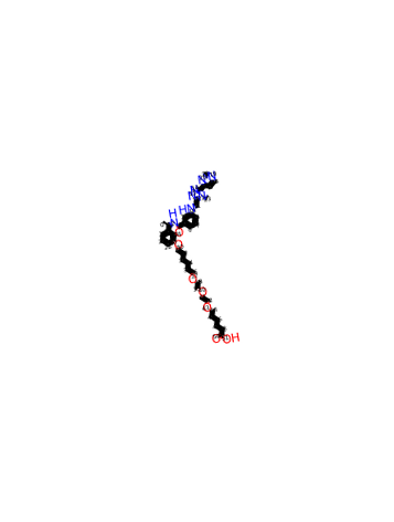 C[C@@H](NC(=O)c1cccc(NCc2nnc(-c3ccncn3)n2C)c1)c1cccc(OCCCCCCOCCOCCOCCCCCC(=O)O)c1